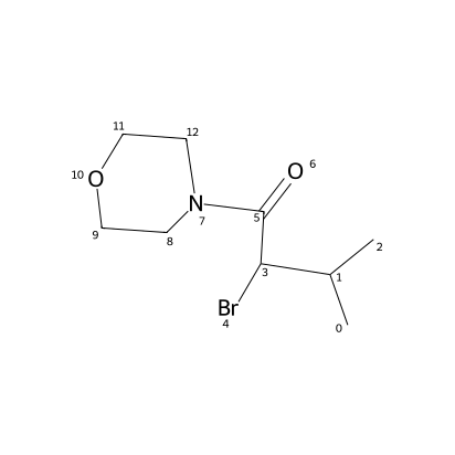 CC(C)C(Br)C(=O)N1CCOCC1